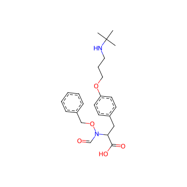 CC(C)(C)NCCCOc1ccc(CC(C(=O)O)N(C=O)OCc2ccccc2)cc1